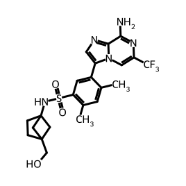 Cc1cc(C)c(S(=O)(=O)NC23CCC(CO)(C2)C3)cc1-c1cnc2c(N)nc(C(F)(F)F)cn12